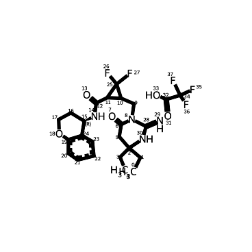 CCC1(CC)CC(=O)N(CC2C(C(=O)N[C@@H]3CCOc4ccccc43)C2(F)F)C(=N)N1.O=C(O)C(F)(F)F